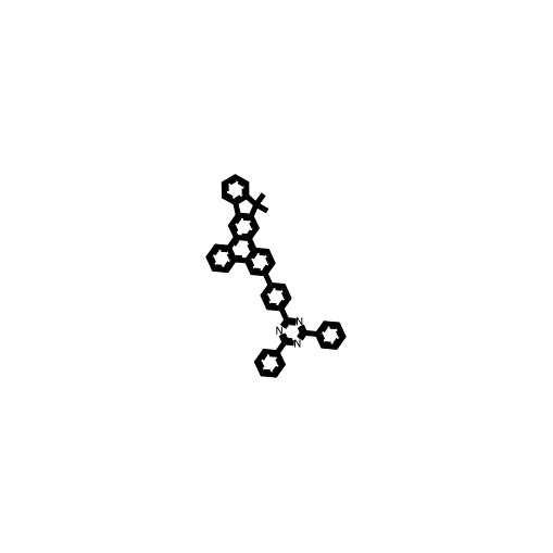 CC1(C)c2ccccc2-c2cc3c4ccccc4c4cc(-c5ccc(-c6nc(-c7ccccc7)nc(-c7ccccc7)n6)cc5)ccc4c3cc21